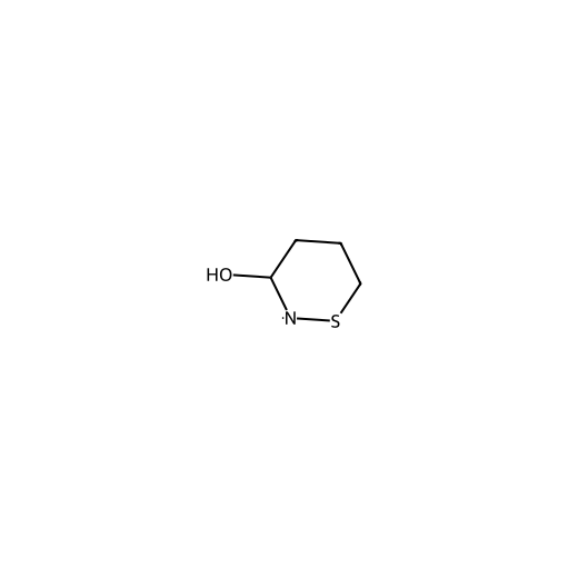 OC1CCCS[N]1